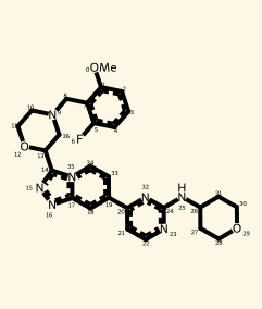 COc1cccc(F)c1CN1CCOC(c2nnc3cc(-c4ccnc(NC5CCOCC5)n4)ccn23)C1